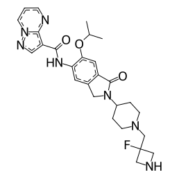 CC(C)Oc1cc2c(cc1NC(=O)c1cnn3cccnc13)CN(C1CCN(CC3(F)CNC3)CC1)C2=O